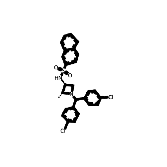 C[C@@H]1[C@@H](NS(=O)(=O)c2ccc3ccccc3c2)CN1C(c1ccc(Cl)cc1)c1ccc(Cl)cc1